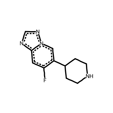 Fc1cc2ncnn2cc1C1CCNCC1